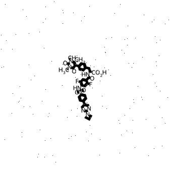 Cc1c(-c2ccc(C[C@H](NC(=O)c3cc(F)c(NS(=O)(=O)c4ccc(-c5cnc(N6CCC6)nc5)cc4)cc3F)C(=O)O)cc2)c(=O)n(C)c(=O)n1C